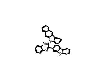 c1ccc2cc3c(cc2c1)c1ccccc1n3-c1nc2ccccc2nc1-c1ccc2c(c1)sc1ccccc12